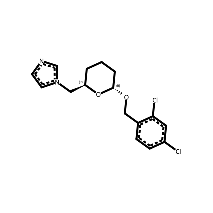 Clc1ccc(CO[C@H]2CCC[C@H](Cn3ccnc3)O2)c(Cl)c1